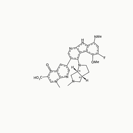 CNc1cc(F)c(OC)c2c1[nH]c1ncc(-c3cnc4c(c3)c(=O)c(C(=O)O)cn4C)c(N3CC[C@@H]4CN(C)C[C@@H]43)c12